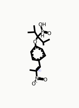 C/C(=C\c1ccc(OC(C(C)C)(C(C)C)[PH](=O)O)cc1)[N+](=O)[O-]